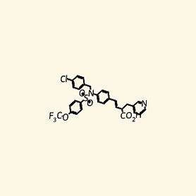 O=C(O)C(/C=C/c1ccc(N(Cc2ccc(Cl)cc2)S(=O)(=O)c2ccc(OC(F)(F)F)cc2)cc1)Cc1cccnc1